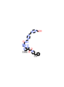 COc1cnc(-n2cnc(C(=O)NCCN3CCN(CCCN4CCN(CCO)CC4)CC3)n2)c2[nH]cc(C(=O)C(=O)N3CCC(=C(C#N)c4ccccc4)CC3)c12